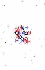 COc1ccc2[nH]cc(CCNC(C)=O)c2c1.N[C@@H](Cc1cc(I)c(Oc2cc(I)c(O)c(I)c2)c(I)c1)C(=O)O